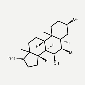 CCC[C@@H](C)C1CC[C@H]2[C@@H]3[C@H](O)[C@H](CC)[C@@H]4C[C@H](O)CCC4(C)[C@H]3CCC12C